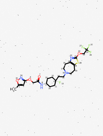 Cc1cc(OCC(=O)N[C@H]2CC[C@](F)(CCN3CCc4nc(OCC(F)(F)F)sc4CC3)CC2)no1